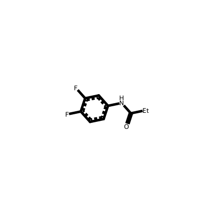 CCC(=O)Nc1ccc(F)c(F)c1